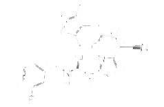 Cc1noc(C)c1OC(=O)N(C)C(C#N)c1csc(NC(=O)NCc2cccc(F)c2)n1